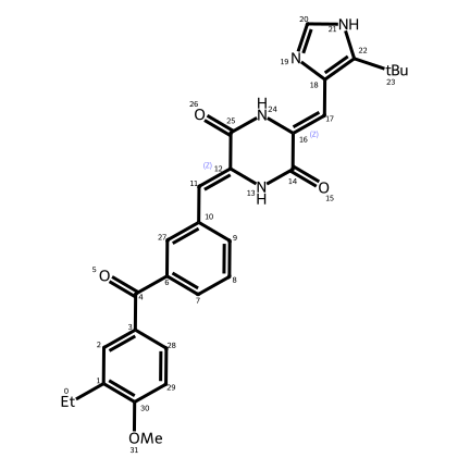 CCc1cc(C(=O)c2cccc(/C=c3\[nH]c(=O)/c(=C/c4nc[nH]c4C(C)(C)C)[nH]c3=O)c2)ccc1OC